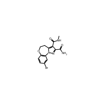 CNC(=O)c1c(C(N)=O)nn2c1CCOc1ccc(Br)cc1-2